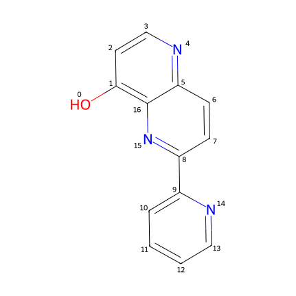 Oc1ccnc2ccc(-c3ccccn3)nc12